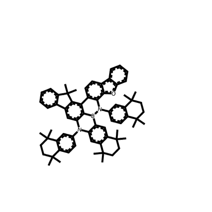 CC1(C)CCC(C)(C)c2cc(N3B4c5cc6c(cc5N(c5ccc7c(c5)C(C)(C)CCC7(C)C)c5cc7c(c(c54)-c4ccc5c(oc8ccccc85)c43)C(C)(C)c3ccccc3-7)C(C)(C)CCC6(C)C)ccc21